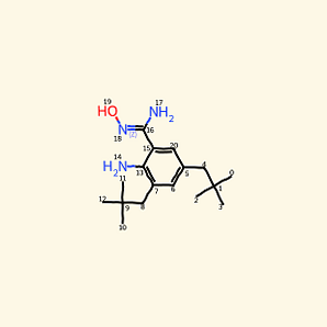 CC(C)(C)Cc1cc(CC(C)(C)C)c(N)c(/C(N)=N/O)c1